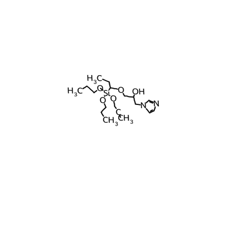 CCCO[Si](OCCC)(OCCC)C(CC)OCC(O)Cn1ccnc1